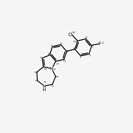 Fc1ccc(-c2ccc3cc4n(c3c2)CCNCC4)c(Cl)c1